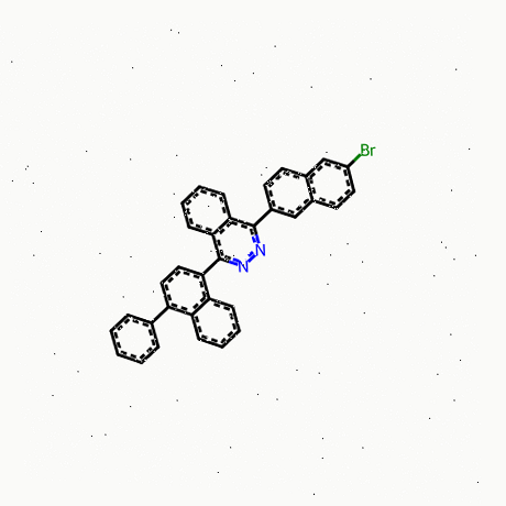 Brc1ccc2cc(-c3nnc(-c4ccc(-c5ccccc5)c5ccccc45)c4ccccc34)ccc2c1